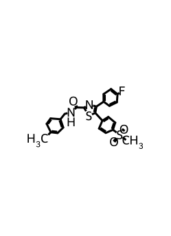 Cc1ccc(CNC(=O)c2nc(-c3ccc(F)cc3)c(-c3ccc(S(C)(=O)=O)cc3)s2)cc1